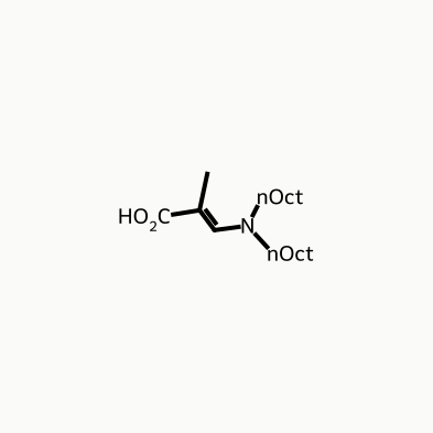 CCCCCCCCN(/C=C(\C)C(=O)O)CCCCCCCC